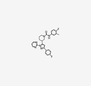 Cc1cc(NC(=O)N2CCCC(c3cc(-c4ccc(F)cc4)nn3-c3ncccn3)C2)ccc1F